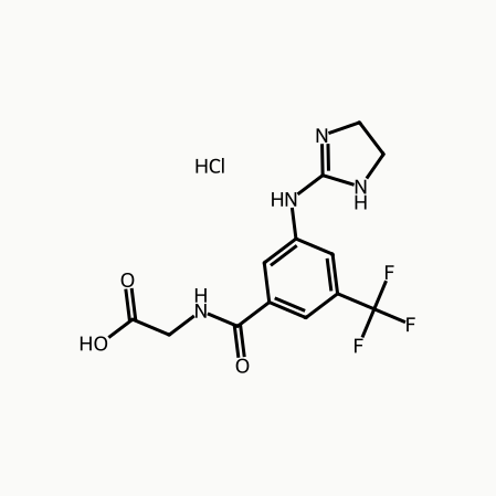 Cl.O=C(O)CNC(=O)c1cc(NC2=NCCN2)cc(C(F)(F)F)c1